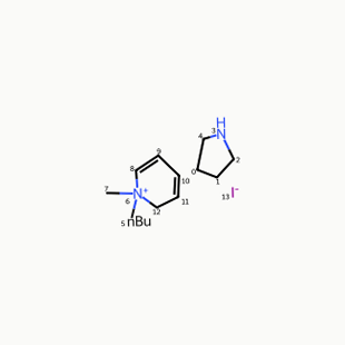 C1CCNC1.CCCC[N+]1(C)C=CC=CC1.[I-]